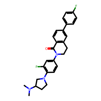 CN(C)C1CCN(c2ccc(N3CCc4cc(-c5ccc(F)cc5)ccc4C3=O)cc2F)C1